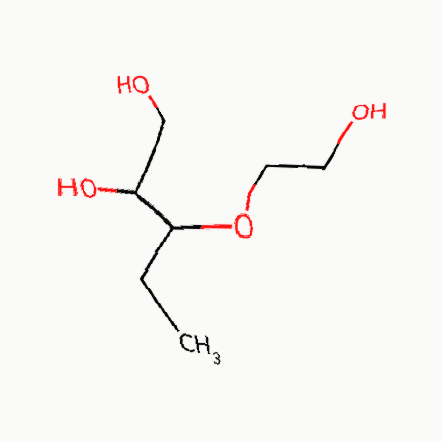 CCC(OCCO)C(O)CO